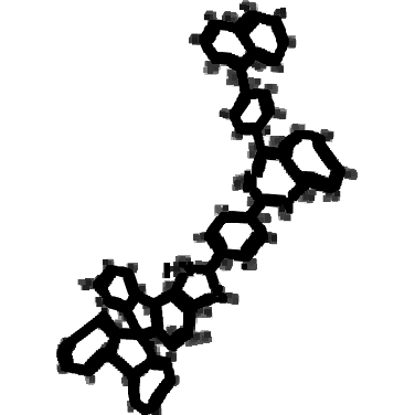 c1ccc2c(c1)-c1ccccc1C21c2ccccc2-c2c1ccc1c2NC(c2ccc(-c3nc(-c4ccc(-c5cccc6ccccc56)cc4)c4ccccc4n3)cc2)S1